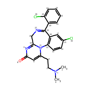 CN(C)CCc1cc(=O)nc2n1-c1ccc(Cl)cc1C(c1ccccc1Cl)=NC2